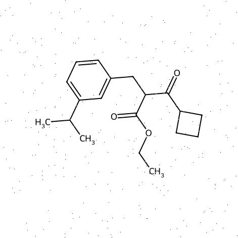 CCOC(=O)C(Cc1cccc(C(C)C)c1)C(=O)C1CCC1